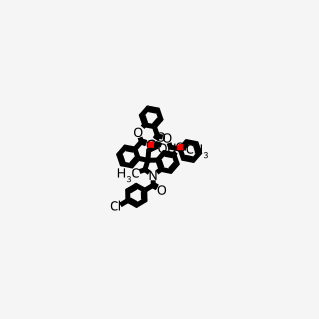 COc1ccc2c(c1)C(CC(=O)O)(c1ccccc1C(=O)Oc1ccccc1C(=O)OCc1ccccc1)C(C)N2C(=O)c1ccc(Cl)cc1